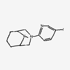 CN1C2CCCC1CN(c1ccc(I)cn1)C2